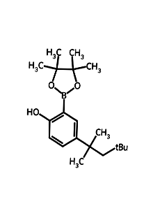 CC(C)(C)CC(C)(C)c1ccc(O)c(B2OC(C)(C)C(C)(C)O2)c1